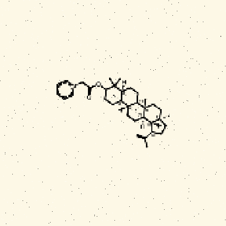 C=C(C)[C@@H]1CC[C@]2(C)CC[C@]3(C)[C@H](CC[C@@H]4[C@@]5(C)CCC(OC(=O)C[n+]6ccccc6)C(C)(C)[C@@H]5CC[C@]43C)[C@@H]12